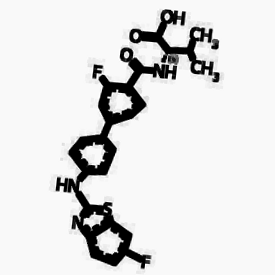 CC(C)[C@H](NC(=O)c1ccc(-c2ccc(Nc3nc4ccc(F)cc4s3)cc2)cc1F)C(=O)O